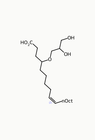 CCCCCCCC/C=C\CCCCC(CCC(=O)O)OCC(O)CO